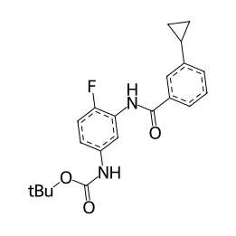 CC(C)(C)OC(=O)Nc1ccc(F)c(NC(=O)c2cccc(C3CC3)c2)c1